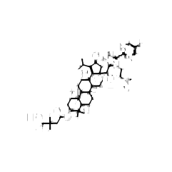 CC(C)C1=C2[C@H]3CC[C@@H]4[C@@]5(C)CC[C@H](OC(=O)CC(C)(C)C(=O)O)C(C)(C)[C@@H]5CC[C@@]4(C)[C@]3(C)CC[C@@]2([C@H](O)c2nnc(-c3ncc(F)cn3)n2CCN(C)C)CC1=O